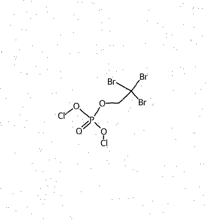 O=P(OCl)(OCl)OCC(Br)(Br)Br